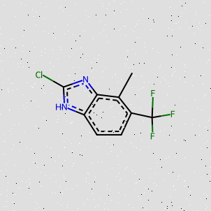 Cc1c(C(F)(F)F)ccc2[nH]c(Cl)nc12